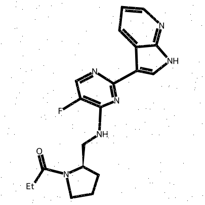 CCC(=O)N1CCC[C@@H]1CNc1nc(-c2c[nH]c3ncccc23)ncc1F